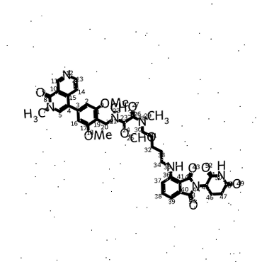 COc1cc(-c2cn(C)c(=O)c3cnccc23)cc(OC)c1CN(C)C(OC=O)C(=O)N(C)CCCCCNc1cccc2c1C(=O)N(C1CCC(=O)NC1=O)C2=O